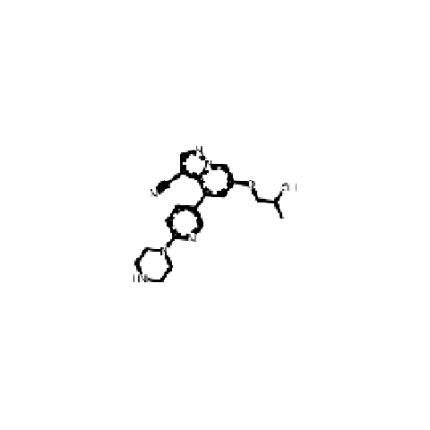 CC(O)COc1cc(-c2ccc(N3CCNCC3)nc2)c2c(C#N)cnn2c1